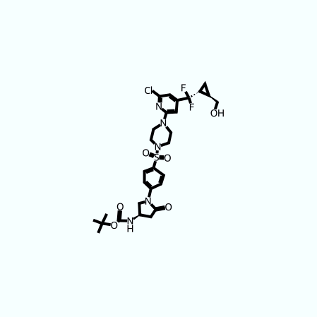 CC(C)(C)OC(=O)N[C@@H]1CC(=O)N(c2ccc(S(=O)(=O)N3CCN(c4cc(C(F)(F)[C@@H]5C[C@H]5CO)cc(Cl)n4)CC3)cc2)C1